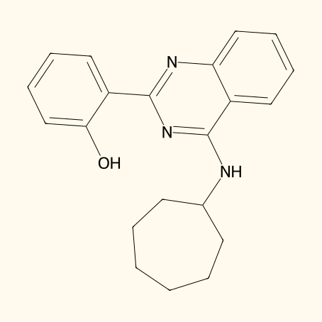 Oc1ccccc1-c1nc(NC2CCCCCC2)c2ccccc2n1